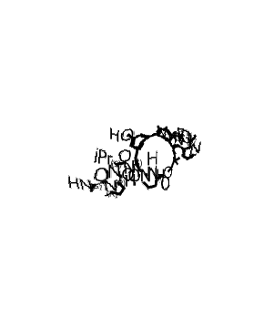 CCn1c(-c2cccnc2[C@H](C)OC)c2c3cc(ccc31)-c1cc(O)cc(c1)C[C@H](NC(=O)[C@H](C(C)C)N(C)C(=O)[C@H]1CC[C@@H](C)N1C(=O)[C@@H]1CN1)C(=O)N1CCC[C@H](N1)C(=O)OCC(C)(C)C2